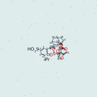 CC(C)c1cc(S(=O)(=O)O)cc(C(C)C)c1OC(=O)c1c2c3oc1c(OC(=O)C14CC5CC(CC(C5)C1)C4)c3OC2=O